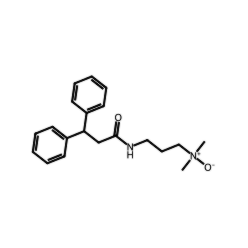 C[N+](C)([O-])CCCNC(=O)CC(c1ccccc1)c1ccccc1